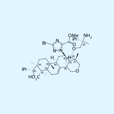 COC(=O)c1nc(Br)nn1[C@@H]1C[C@@]23COC[C@](C)([C@@H]2CC[C@H]2C3=CC[C@@]3(C)[C@H](C(=O)O)[C@@](C)([C@H](C)C(C)C)CC[C@]23C)[C@H]1OC[C@](C)(N)C(C)C